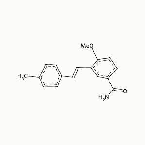 COc1ccc(C(N)=O)cc1C=Cc1ccc(C)cc1